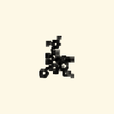 C[C@H]1CCC(C)(O)[C@H]2CN1C(=O)c1c(OCc3ccccc3)c(=O)c(C(=O)NCc3ccc(F)cc3F)cn12